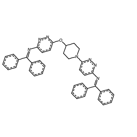 c1ccc(C(=Nc2ccc(OC3CCN(c4ccc(N=C(c5ccccc5)c5ccccc5)nn4)CC3)nn2)c2ccccc2)cc1